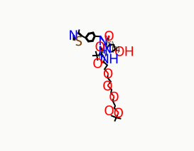 Cc1ncsc1-c1ccc(CNC(=O)[C@@H]2C[C@@H](O)CN2C(=O)[C@@H](NC(=O)CCOCCOCCOCCC(=O)OC(C)(C)C)C(C)(C)C)cc1